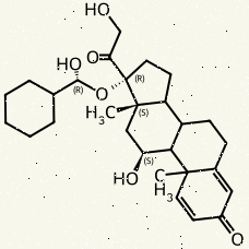 CC12C=CC(=O)C=C1CCC1C2[C@@H](O)C[C@@]2(C)C1CC[C@]2(O[C@@H](O)C1CCCCC1)C(=O)CO